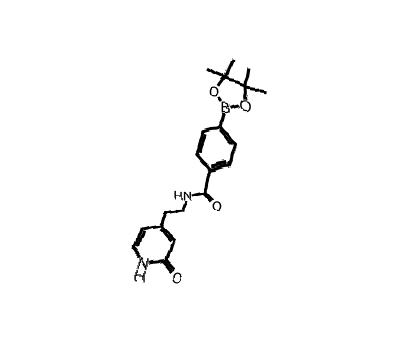 CC1(C)OB(c2ccc(C(=O)NCCc3cc[nH]c(=O)c3)cc2)OC1(C)C